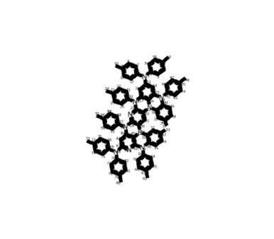 Cc1ccc(N(c2ccc(C)cc2)c2cc3c4c(c2)N(c2ccc(C)cc2)c2nc5c(cc2N4c2cc(C)ccc2N3c2ccc(C)cc2)B2c3cc(C)ccc3N(c3ccc(C)cc3)c3nc(N(c4ccc(C)cc4)c4ccc(C)cc4)cc(c32)N5c2ccc(C)cc2)cc1